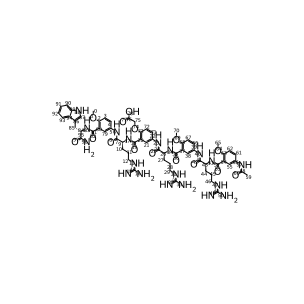 COc1ccc(NC(=O)[C@H](CCCNC(=N)N)NC(=O)c2cc(NC(=O)[C@H](CCCNC(=N)N)NC(=O)c3cc(NC(=O)[C@H](CCCNC(=N)N)NC(=O)c4cc(NC(C)=O)ccc4OC)ccc3OC)ccc2OCC(=O)O)cc1C(=O)N[C@@H](Cc1c[nH]c2ccccc12)C(N)=O